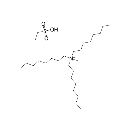 CCCCCCCC[N+](C)(CCCCCCCC)CCCCCCCC.CCS(=O)(=O)O